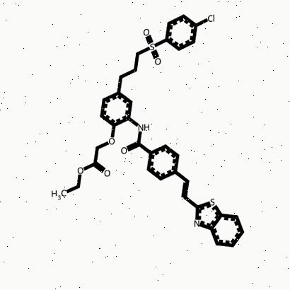 CCOC(=O)COc1ccc(CCCS(=O)(=O)c2ccc(Cl)cc2)cc1NC(=O)c1ccc(C=Cc2nc3ccccc3s2)cc1